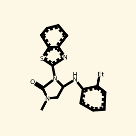 CCc1ccccc1NC1CN(C)C(=O)N1c1nc2ccccc2s1